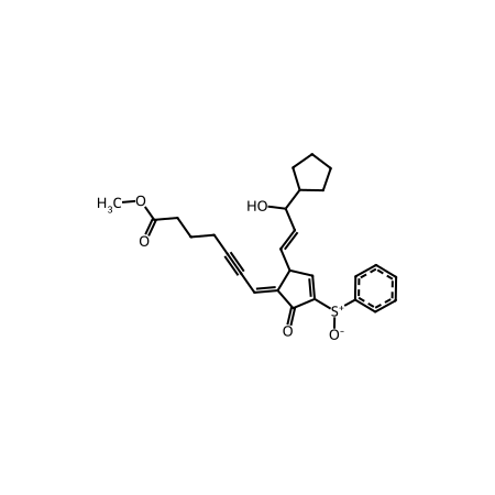 COC(=O)CCCC#CC=C1C(=O)C([S+]([O-])c2ccccc2)=CC1C=CC(O)C1CCCC1